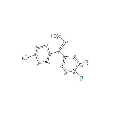 CC(C)(C)c1ccc(/C(=C\C(=O)O)c2ccc(Cl)c(Cl)c2)cc1